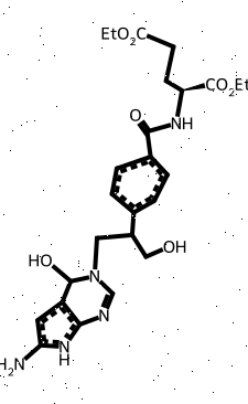 CCOC(=O)CC[C@H](NC(=O)c1ccc(C(CO)CN2C=Nc3[nH]c(N)cc3C2O)cc1)C(=O)OCC